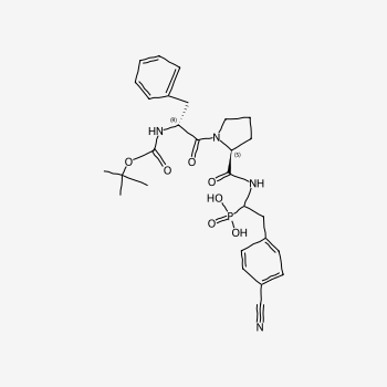 CC(C)(C)OC(=O)N[C@H](Cc1ccccc1)C(=O)N1CCC[C@H]1C(=O)NC(Cc1ccc(C#N)cc1)P(=O)(O)O